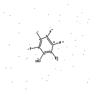 CCc1c(O)c(F)c(C)c(F)c1F